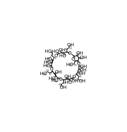 OCCC1OC(O)/C(O)=C(\O)C(CCO)OC2OC(CO)C(OC(O)C(O)C(O)C(CCO)OC(O)/C(O)=C(\O)C(CCO)OC(O)/C(O)=C(\O)C(CCO)OC(O)/C(O)=C\1O)C(O)C2O